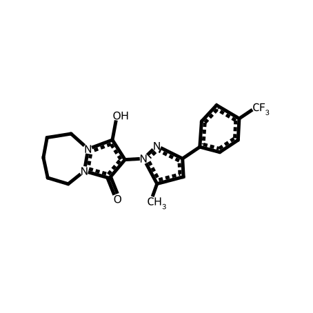 Cc1cc(-c2ccc(C(F)(F)F)cc2)nn1-c1c(O)n2n(c1=O)CCCCC2